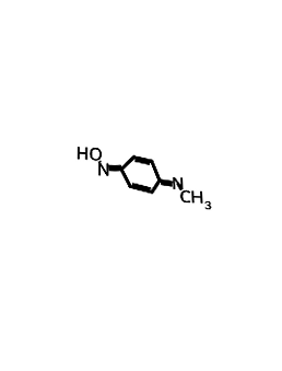 CN=C1C=CC(=NO)C=C1